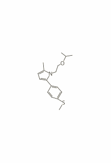 CSc1ccc(-c2ccc(C)n2CCOC(C)C)cc1